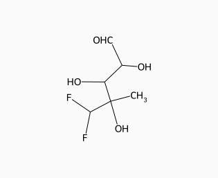 CC(O)(C(F)F)C(O)C(O)C=O